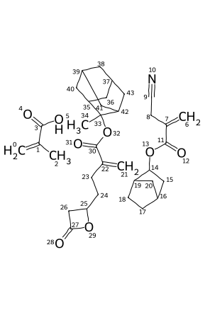 C=C(C)C(=O)O.C=C(CC#N)C(=O)OC1CC2CCC1C2.C=C(CCC1CC(=O)O1)C(=O)OC1(C)C2CC3CC(C2)CC1C3